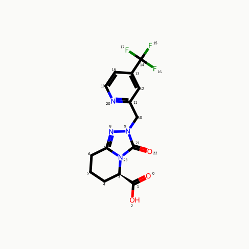 O=C(O)[C@H]1CCCc2nn(Cc3cc(C(F)(F)F)ccn3)c(=O)n21